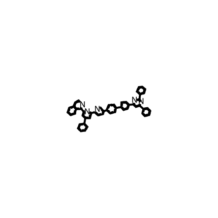 c1ccc(-c2cc(-c3ccc(-c4ccc(-c5ccc(-c6cc(-c7ccccc7)nc(-c7ccccc7)n6)cc5)cc4)cn3)nc(-c3nccc4ccccc34)c2)cc1